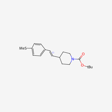 CSc1ccc(/C=C/C2CCN(C(=O)OC(C)(C)C)CC2)cc1